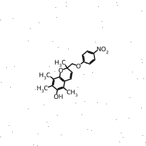 Cc1c(C)c2c(c(C)c1O)C=CC(C)(COc1ccc([N+](=O)[O-])cc1)O2